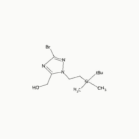 CC(C)(C)[Si](C)(C)CCn1nc(Br)nc1CO